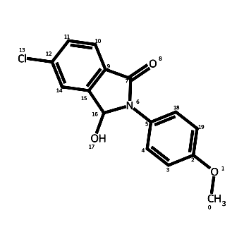 COc1ccc(N2C(=O)c3ccc(Cl)cc3C2O)cc1